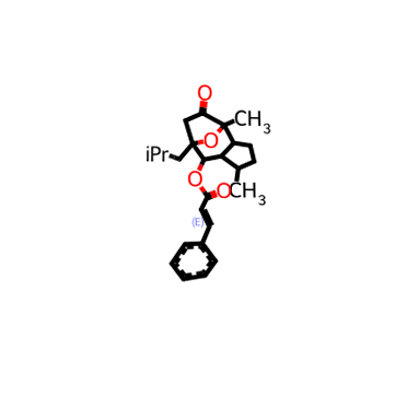 CC(C)CC12CC(=O)C(C)(O1)C1CCC(C)C1C2OC(=O)/C=C/c1ccccc1